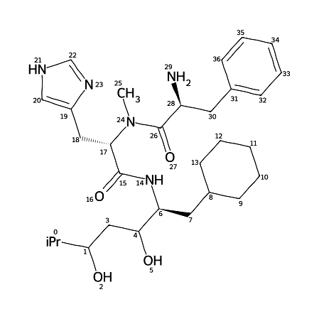 CC(C)C(O)CC(O)[C@H](CC1CCCCC1)NC(=O)[C@H](Cc1c[nH]cn1)N(C)C(=O)[C@@H](N)Cc1ccccc1